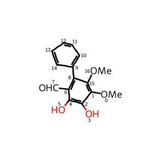 COc1c(O)c(O)c(C=O)c(-c2ccccc2)c1OC